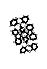 c1ccc2c(c1)Oc1ccccc1N2c1cc2c(s1)C1(c3ccccc3-c3ccccc31)c1cc(N3c4ccccc4Oc4ccccc43)sc1C21c2ccccc2-c2ccccc21